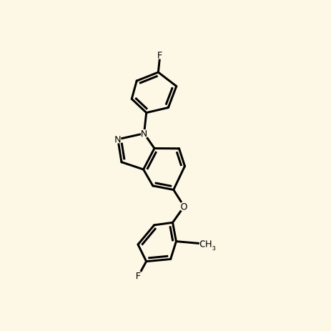 Cc1cc(F)ccc1Oc1ccc2c(cnn2-c2ccc(F)cc2)c1